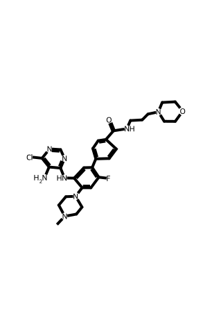 CN1CCN(c2cc(F)c(-c3ccc(C(=O)NCCCN4CCOCC4)cc3)cc2Nc2ncnc(Cl)c2N)CC1